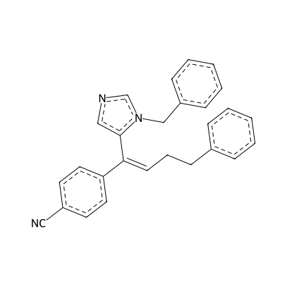 N#Cc1ccc(C(=CCCc2ccccc2)c2cncn2Cc2ccccc2)cc1